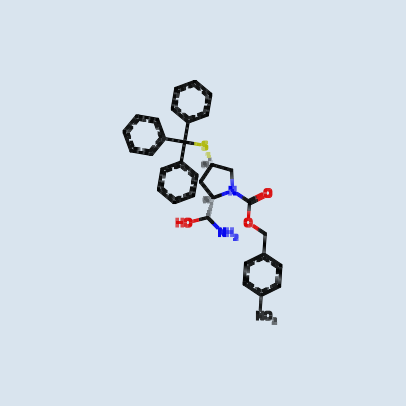 NC(O)[C@@H]1C[C@H](SC(c2ccccc2)(c2ccccc2)c2ccccc2)CN1C(=O)OCc1ccc([N+](=O)[O-])cc1